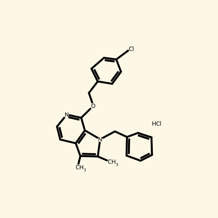 Cc1c(C)n(Cc2ccccc2)c2c(OCc3ccc(Cl)cc3)nccc12.Cl